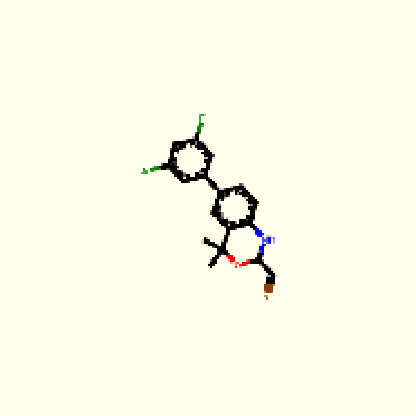 CC1(C)OC(C=S)Nc2ccc(-c3cc(F)cc(Br)c3)cc21